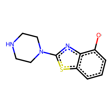 [O]c1cccc2sc(N3CCNCC3)nc12